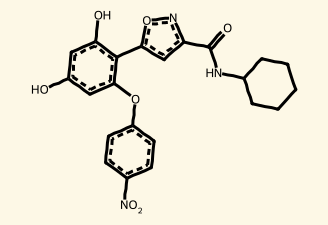 O=C(NC1CCCCC1)c1cc(-c2c(O)cc(O)cc2Oc2ccc([N+](=O)[O-])cc2)on1